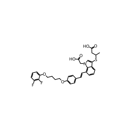 CC(CC(=O)O)Sc1cn(CC(=O)O)c2c(/C=C/c3ccc(OCCCCOc4cccc(F)c4F)cc3)cccc12